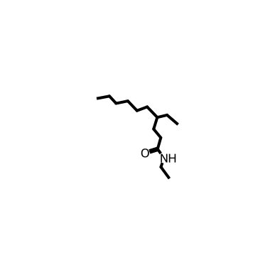 CCCCCCC(CC)CCC(=O)NCC